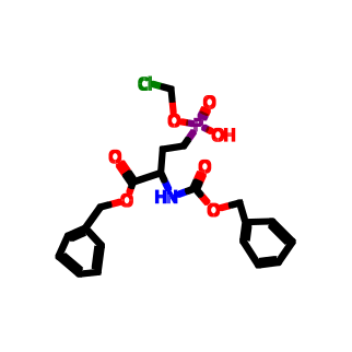 O=C(NC(CCP(=O)(O)OCCl)C(=O)OCc1ccccc1)OCc1ccccc1